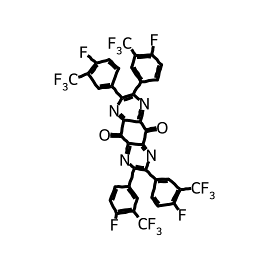 O=C1c2nc(-c3ccc(F)c(C(F)(F)F)c3)c(-c3ccc(F)c(C(F)(F)F)c3)nc2C(=O)c2nc(-c3ccc(F)c(C(F)(F)F)c3)c(-c3ccc(F)c(C(F)(F)F)c3)nc21